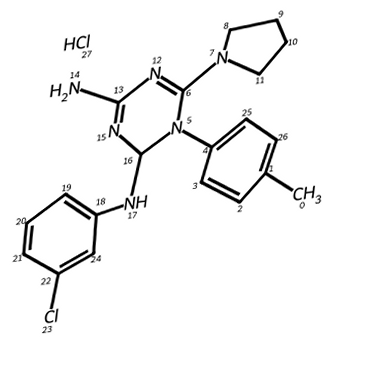 Cc1ccc(N2C(N3CCCC3)=NC(N)=NC2Nc2cccc(Cl)c2)cc1.Cl